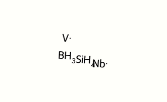 B.[Nb].[SiH4].[V]